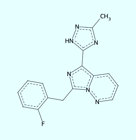 Cc1n[nH]c(-c2nc(Cc3ccccc3F)n3ncccc23)n1